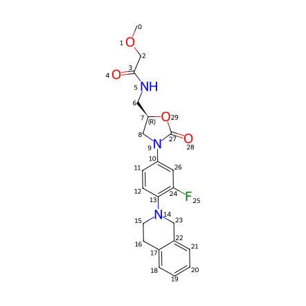 COCC(=O)NC[C@@H]1CN(c2ccc(N3CCc4ccccc4C3)c(F)c2)C(=O)O1